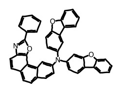 c1ccc(-c2nc3ccc4ccc5ccc(N(c6ccc7c(c6)oc6ccccc67)c6ccc7oc8ccccc8c7c6)cc5c4c3o2)cc1